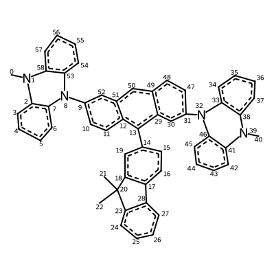 CN1c2ccccc2N(c2ccc3c(-c4ccc5c(c4)C(C)(C)c4ccccc4-5)c4cc(N5c6ccccc6N(C)c6ccccc65)ccc4cc3c2)c2ccccc21